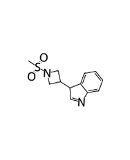 CS(=O)(=O)N1CC(C2C=Nc3ccccc32)C1